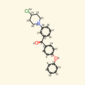 O=C(c1ccc(Oc2ccccc2)cc1)c1cccc(N2CCC(Cl)CC2)c1